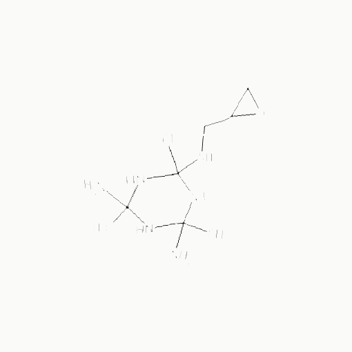 CC1(N)NC(C)(N)NC(C)(NCC2CO2)N1